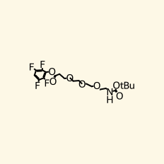 CC(C)(C)OC(=O)NCCOCCOCCOCCC(=O)Oc1c(F)c(F)cc(F)c1F